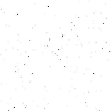 CC(C)(C)OCC1CN(c2cc(Br)cnc2[N+](=O)[O-])C1